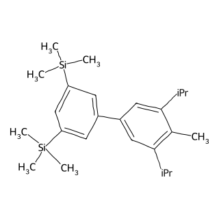 Cc1c(C(C)C)cc(-c2cc([Si](C)(C)C)cc([Si](C)(C)C)c2)cc1C(C)C